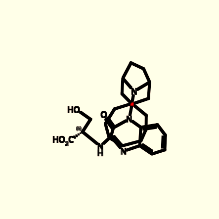 O=C(O)[C@H](CO)Nc1nc2ccccc2n(C2CC3CCC(C2)N3C2CCCCCCC2)c1=O